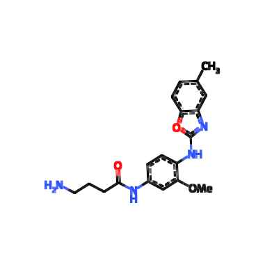 COc1cc(NC(=O)CCCN)ccc1Nc1nc2cc(C)ccc2o1